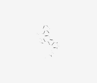 Cc1cnc2cc(F)c(-c3c(-c4ccc5c(=O)[nH]nc(CNC(=O)OC(C)(C)C)c5c4)cnn3C)c(C#N)c2c1